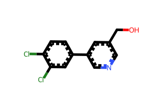 OCc1cncc(-c2ccc(Cl)c(Cl)c2)c1